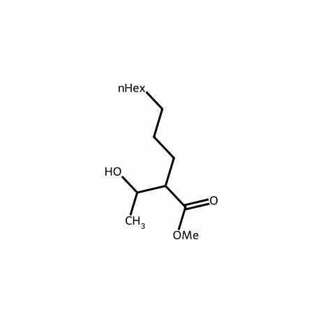 CCCCCCCCCC(C(=O)OC)C(C)O